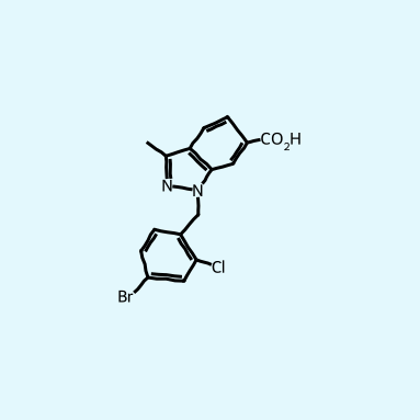 Cc1nn(Cc2ccc(Br)cc2Cl)c2cc(C(=O)O)ccc12